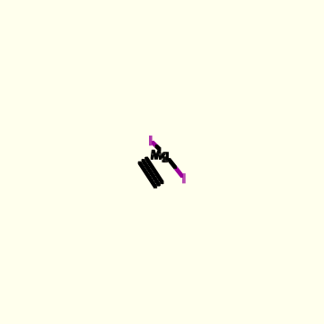 C#C.[I][Mg][I]